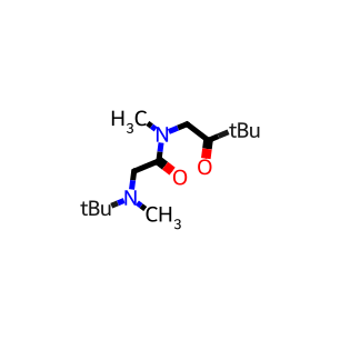 CN(CC(=O)C(C)(C)C)C(=O)CN(C)C(C)(C)C